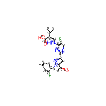 CC(=O)c1cc(-c2ncc(F)c(NC[C@@H](C(=O)O)C(C)C)n2)nn1Cc1ccccc1F